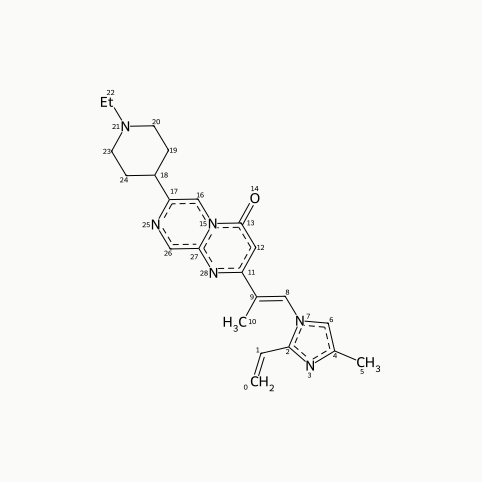 C=Cc1nc(C)cn1/C=C(\C)c1cc(=O)n2cc(C3CCN(CC)CC3)ncc2n1